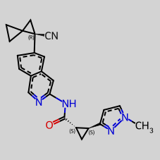 Cn1ccc([C@H]2C[C@@H]2C(=O)Nc2cc3cc([C@@]4(C#N)CC45CC5)ccc3cn2)n1